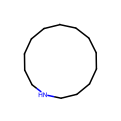 [CH]1CCCCCCCNCCCCC1